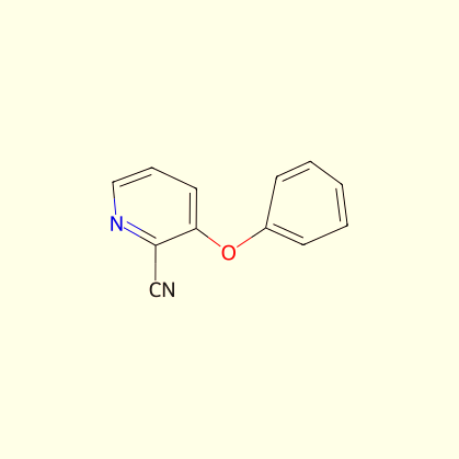 N#Cc1ncccc1Oc1ccccc1